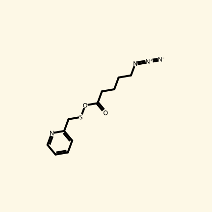 [N-]=[N+]=NCCCCC(=O)OSCc1ccccn1